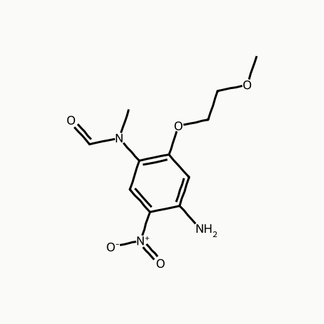 COCCOc1cc(N)c([N+](=O)[O-])cc1N(C)C=O